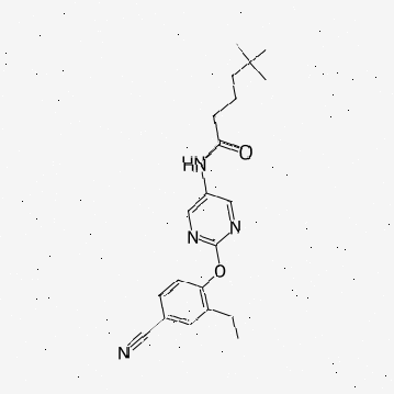 CCc1cc(C#N)ccc1Oc1ncc(NC(=O)CCCC(C)(C)C)cn1